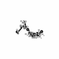 CC[C@H](C)[C@@H]([C@@H](CC(=O)N1CCC[C@H]1[C@H](OC)[C@@H](C)C(=O)N[C@H](C)[C@@H](O)c1ccccc1)OC)N(C(=O)[C@H](C(C)C)N(C)C(=O)OCc1ccc(NC(=O)[C@H](CCCNC(N)=O)NC(=O)[C@@H](NC(=O)CCCCCN2C(=O)C=CC2=O)C(C)C)cc1)[C@H](C(=O)NC)C(C)C